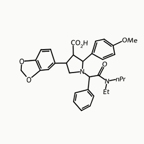 CCCN(CC)C(=O)C(c1ccccc1)N1CC(c2ccc3c(c2)OCO3)C(C(=O)O)C1c1ccc(OC)cc1